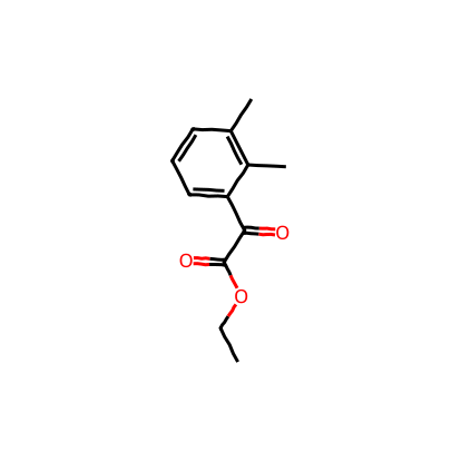 CCOC(=O)C(=O)c1cccc(C)c1C